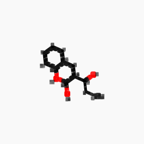 CC(C)(C)CC(=O)c1cc2ccccc2oc1=O